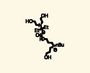 CCCCP(=O)(CCCO)CCCO[PH](=O)OC(CC)(CC)N(CCO)CCO